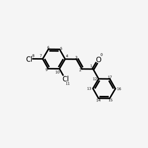 O=C(C=Cc1ccc(Cl)cc1Cl)c1ccccc1